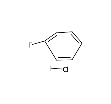 ClI.Fc1ccccc1